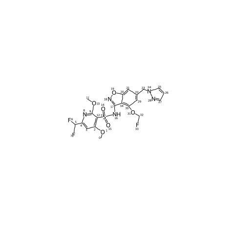 COc1cc(C(F)F)nc(OC)c1S(=O)(=O)Nc1noc2cc(Cn3cccn3)cc(OCF)c12